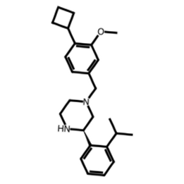 COc1cc(CN2CCN[C@H](c3ccccc3C(C)C)C2)ccc1C1CCC1